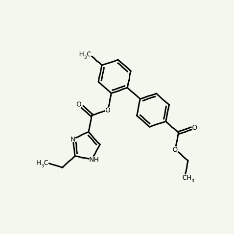 CCOC(=O)c1ccc(-c2ccc(C)cc2OC(=O)c2c[nH]c(CC)n2)cc1